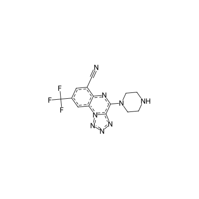 N#Cc1cc(C(F)(F)F)cc2c1nc(N1CCNCC1)c1nnnn12